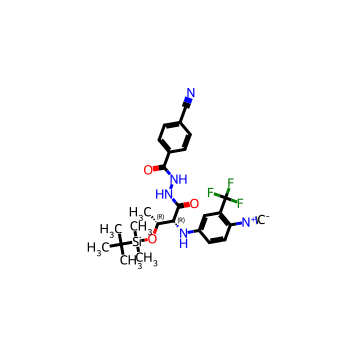 [C-]#[N+]c1ccc(N[C@@H](C(=O)NNC(=O)c2ccc(C#N)cc2)[C@@H](C)O[Si](C)(C)C(C)(C)C)cc1C(F)(F)F